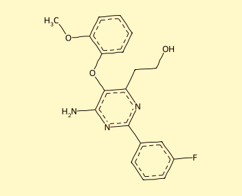 COc1ccccc1Oc1c(N)nc(-c2cccc(F)c2)nc1CCO